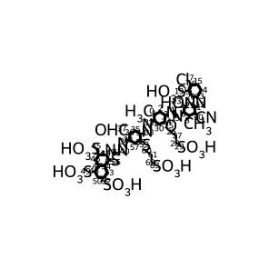 Cc1cc(N=Nc2c(C)c(C#N)c3nc4ccc(Cl)c(S(=O)(=O)O)c4n3c2O)c(OCCCS(=O)(=O)O)cc1N=Nc1cc(C=O)c(N=Nc2nc3c(S(=O)(=O)O)cc4c(S(=O)(=O)O)cc(S(=O)(=O)O)cc4c3s2)cc1SCCCS(=O)(=O)O